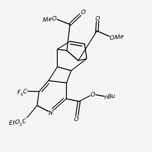 CCCCOC(=O)C1=NC(C(=O)OCC)C(C(F)(F)F)=C2C1C1C3C=CC(C(C(=O)OC)C3C(=O)OC)C21